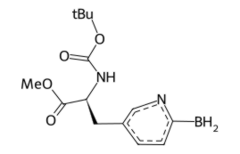 Bc1ccc(C[C@H](NC(=O)OC(C)(C)C)C(=O)OC)cn1